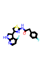 O=C(Cc1ccc(F)cc1)NC1=NC(C2CNc3nccc(F)c32)CS1